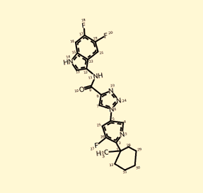 CC1(c2ncc(-n3cc(C(=O)Nc4c[nH]c5cc(F)c(F)cc45)nn3)cc2F)CCCCC1